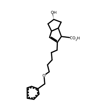 O=C(O)C1C(CCCCCOCc2ccccc2)=CC2C[C@H](O)CC21